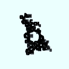 CO[C@@H](C)c1ncc(N2CCN3CCOC[C@@H]3C2)cc1-c1c2c3cc(ccc3n1CC(F)(F)F)-c1csc(n1)C[C@H](NC(=O)[C@H](C(C)C)N1CC[C@]3(CCN(C(=O)[C@H]4CN4)C3)C1)C(=O)N1CCC[C@H](N1)C(=O)OCC(C)(C)C2